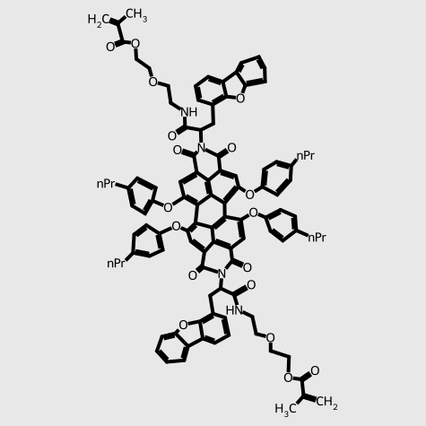 C=C(C)C(=O)OCCOCCNC(=O)C(Cc1cccc2c1oc1ccccc12)N1C(=O)c2cc(Oc3ccc(CCC)cc3)c3c4c(Oc5ccc(CCC)cc5)cc5c6c(cc(Oc7ccc(CCC)cc7)c(c7c(Oc8ccc(CCC)cc8)cc(c2c37)C1=O)c64)C(=O)N(C(Cc1cccc2c1oc1ccccc12)C(=O)NCCOCCOC(=O)C(=C)C)C5=O